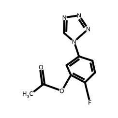 CC(=O)Oc1cc(-n2cnnn2)ccc1F